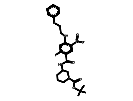 CC(C)(C)OC(=O)N1CCCC(NC(=O)c2cc([N+](=O)[O-])c(NCCOc3ccccc3)cc2F)C1